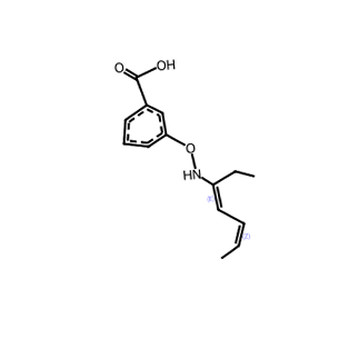 C/C=C\C=C(/CC)NOc1cccc(C(=O)O)c1